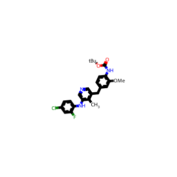 COc1cc(Cc2cncc(Nc3ccc(Cl)cc3F)c2C)ccc1NC(=O)OC(C)(C)C